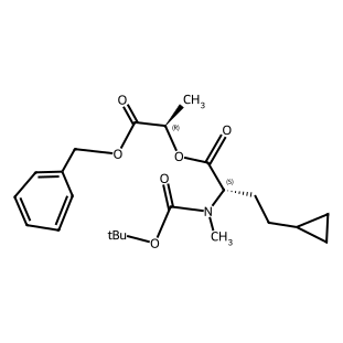 C[C@@H](OC(=O)[C@H](CCC1CC1)N(C)C(=O)OC(C)(C)C)C(=O)OCc1ccccc1